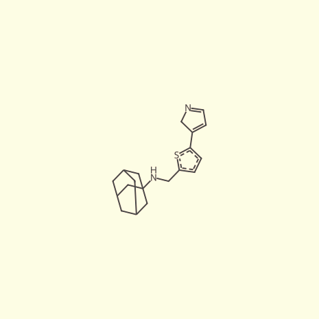 C1=NCC(c2ccc(CNC34CC5CC(CC(C5)C3)C4)s2)=C1